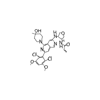 C=CC(=O)N[C@H]1COCC1Nc1cc2c(N3CCC(C)(O)CC3)nc(-c3c(Cl)c(OC)cc(OC)c3Cl)cc2cn1